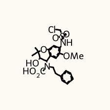 COc1cc2c(cc1NS(=O)(=O)CCl)OC(C)(C)[C@H](O)[C@H]2N(CCc1ccccc1)C(=O)O